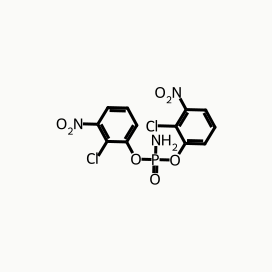 NP(=O)(Oc1cccc([N+](=O)[O-])c1Cl)Oc1cccc([N+](=O)[O-])c1Cl